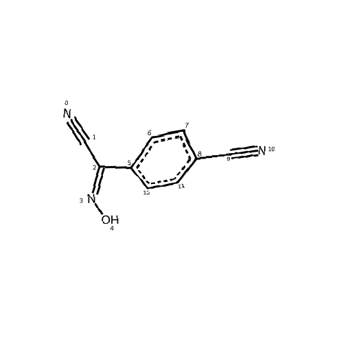 N#C/C(=N/O)c1ccc(C#N)cc1